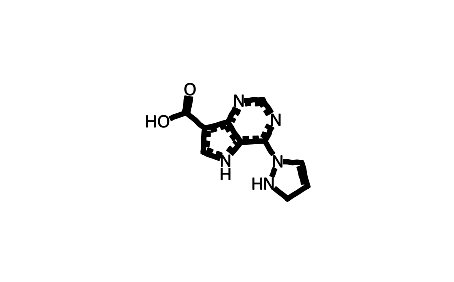 O=C(O)c1c[nH]c2c(N3C=CCN3)ncnc12